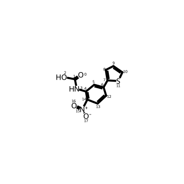 O=C(O)Nc1cc(-c2cccs2)ccc1[N+](=O)[O-]